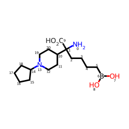 NC(CCCCB(O)O)(C(=O)O)C1CCN(C2CCCC2)CC1